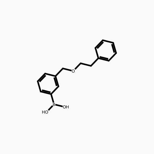 OB(O)c1cccc(COCCc2ccccc2)c1